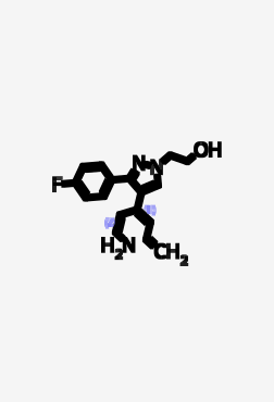 C=C/C=C(\C=C/N)c1cn(CCO)nc1-c1ccc(F)cc1